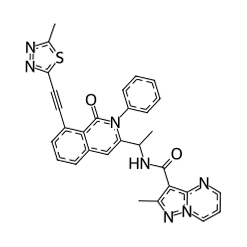 Cc1nnc(C#Cc2cccc3cc(C(C)NC(=O)c4c(C)nn5cccnc45)n(-c4ccccc4)c(=O)c23)s1